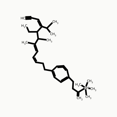 C#C/C=C(/C(C)C)C(CC)C(C)/C(C)=C/C=C\CCC1=CC=C(CCC(=C)[SH](C)(C)(C)C)C=C=C1